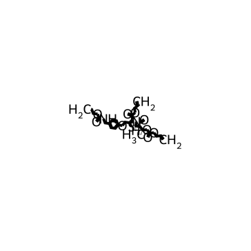 C=CCOC(=O)NCc1ccc(OCC2=C(C(=O)OCC=C)N3C(=O)[C@H]([C@@H](C)OC(=O)OCC=C)[C@H]3S2)cc1